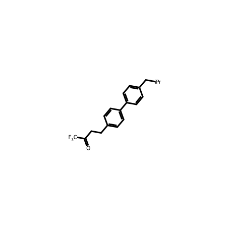 CC(C)Cc1ccc(-c2ccc(CCC(=O)C(F)(F)F)cc2)cc1